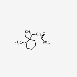 CCC1(CC)CCCCN1C.NC=O